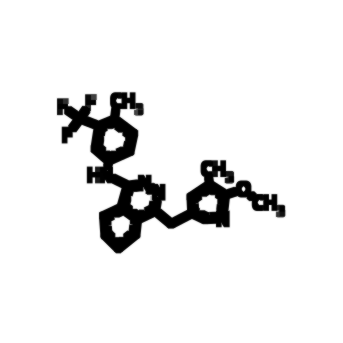 COc1ncc(Cc2nnc(Nc3ccc(C)c(C(F)(F)F)c3)c3ccccc23)cc1C